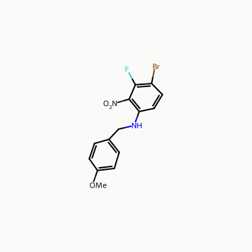 COc1ccc(CNc2ccc(Br)c(F)c2[N+](=O)[O-])cc1